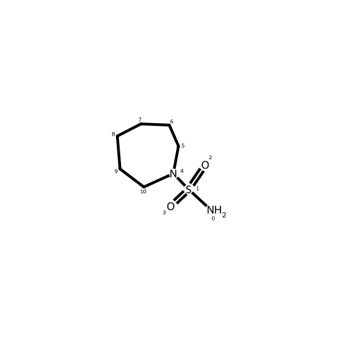 NS(=O)(=O)N1CCCCCC1